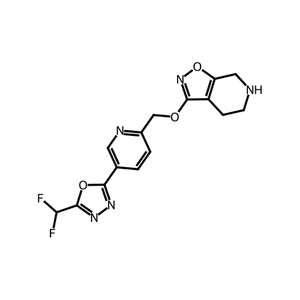 FC(F)c1nnc(-c2ccc(COc3noc4c3CCNC4)nc2)o1